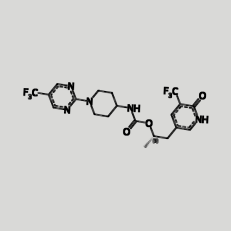 C[C@@H](Cc1c[nH]c(=O)c(C(F)(F)F)c1)OC(=O)NC1CCN(c2ncc(C(F)(F)F)cn2)CC1